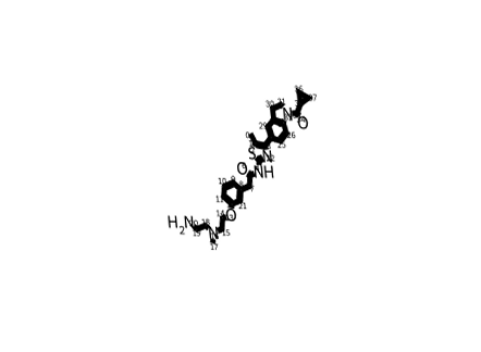 Cc1sc(NC(=O)Cc2cccc(OCCN(C)CCN)c2)nc1-c1ccc2c(c1)CCN2C(=O)C1CC1